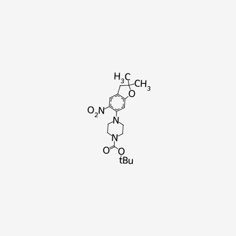 CC(C)(C)OC(=O)N1CCN(c2cc3c(cc2[N+](=O)[O-])CC(C)(C)O3)CC1